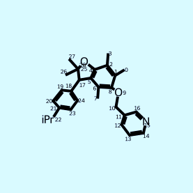 Cc1c(C)c2c(c(C)c1OCc1cccnc1)C(c1ccc(C(C)C)cc1)C(C)(C)O2